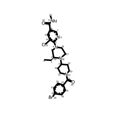 CC[C@H]1CN(c2ncc(C(=O)NC)cc2Cl)CCN1C1CCN(C(=O)c2ccc(Br)cc2)CC1